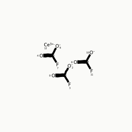 O=C([O-])F.O=C([O-])F.O=C([O-])F.[Ce+3]